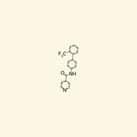 O=C(Nc1ccc(-c2ccccc2C(F)(F)F)cc1)c1ccncc1